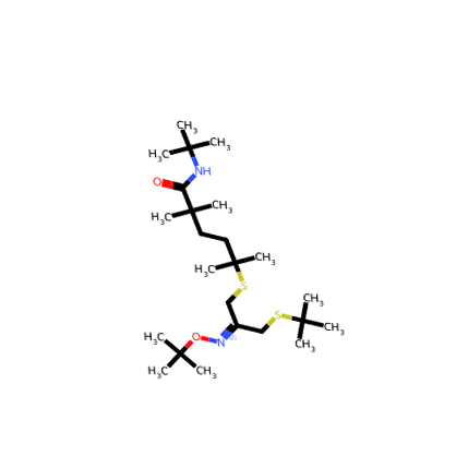 CC(C)(C)NC(=O)C(C)(C)CCC(C)(C)SC/C(CSC(C)(C)C)=N\OC(C)(C)C